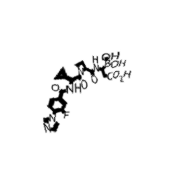 O=C(O)CC(NC(=O)C1CCN1C(=O)C(NC(=O)c1ccc(-n2ccnc2)c(F)c1)C1CC1)B(O)O